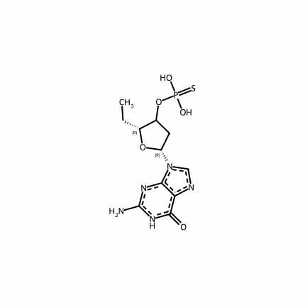 CC[C@H]1O[C@@H](n2cnc3c(=O)[nH]c(N)nc32)CC1OP(O)(O)=S